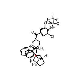 Cc1nc2ccccc2n1C1C[C@H]2CC[C@@H](C1)N2CCC1(c2cccc(F)c2)CCN(C(=O)c2cc(Cl)c(NS(=O)(=O)C(F)(F)F)c(Cl)c2)CC1